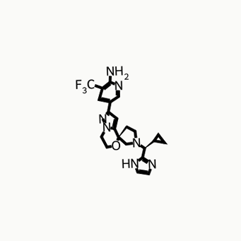 Nc1ncc(-c2cc3n(n2)CCO[C@]32CCN([C@H](c3ncc[nH]3)C3CC3)C2)cc1C(F)(F)F